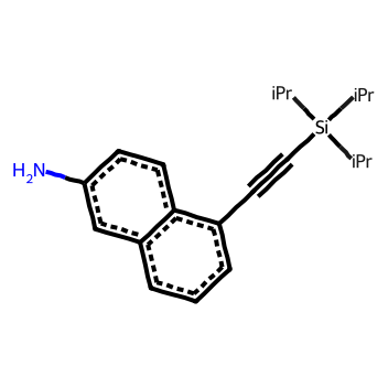 CC(C)[Si](C#Cc1cccc2cc(N)ccc12)(C(C)C)C(C)C